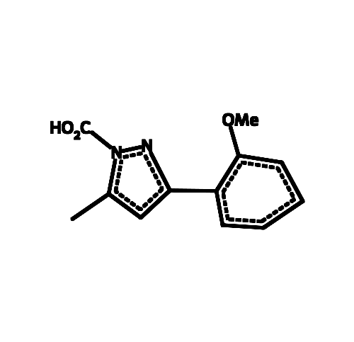 COc1ccccc1-c1cc(C)n(C(=O)O)n1